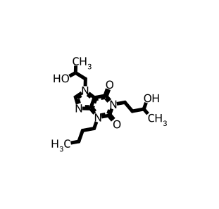 CCCCn1c(=O)n(CCC(C)O)c(=O)c2c1ncn2CC(C)O